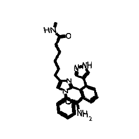 CNC(=O)CCCCCc1cn(-c2ccccc2)c(-c2c(C(N)=O)cccc2-c2cn[nH]c2)n1